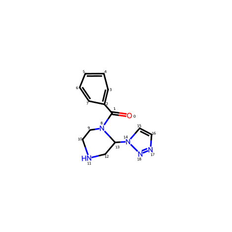 O=C(c1ccccc1)N1CCNCC1n1ccnn1